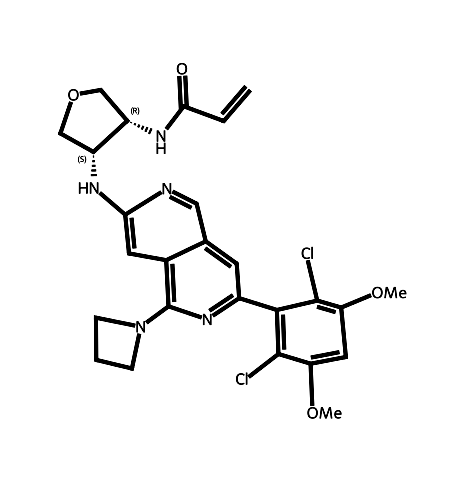 C=CC(=O)N[C@H]1COC[C@H]1Nc1cc2c(N3CCC3)nc(-c3c(Cl)c(OC)cc(OC)c3Cl)cc2cn1